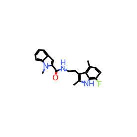 Cc1[nH]c2c(F)ccc(C)c2c1CCNC(=O)c1cc2ccccc2n1C